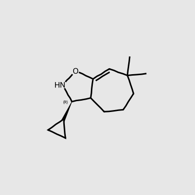 CC1(C)C=C2ON[C@H](C3CC3)C2CCC1